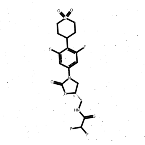 O=C1O[C@@H](CNC(=S)C(F)F)CN1c1cc(F)c(C2CCS(=O)(=O)CC2)c(F)c1